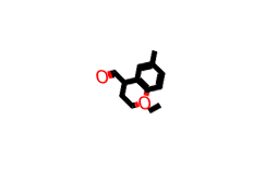 CC.Cc1ccc2c(c1)C(C=O)CCO2